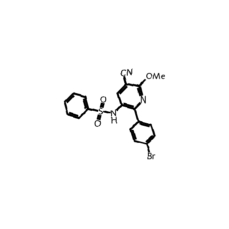 COc1nc(-c2ccc(Br)cc2)c(NS(=O)(=O)c2ccccc2)cc1C#N